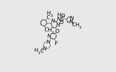 Cc1cccc(C)c1-c1cc(Oc2cnc(N3CCN(C)CC3)c(F)c2)nc(NS(=O)(=O)c2cnn(C)c2)n1